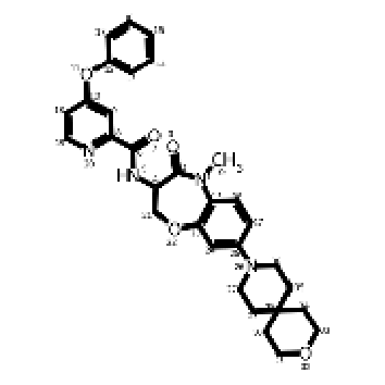 CN1C(=O)C(NC(=O)c2cc(Oc3ccccc3)ccn2)COc2cc(N3CCC4(CCOCC4)CC3)ccc21